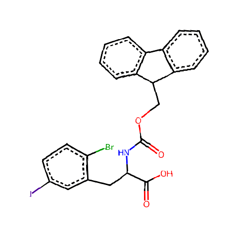 O=C(NC(Cc1cc(I)ccc1Br)C(=O)O)OCC1c2ccccc2-c2ccccc21